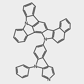 c1ccc(-n2c3ccc(-n4c5ccc6ccccc6c5c5cc6c7ccccc7n7c8ccccc8c(c54)c67)cc3c3ccncc32)cc1